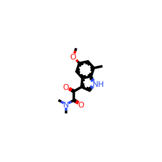 COc1cc(C)c2[nH]cc(C(=O)C(=O)N(C)C)c2c1